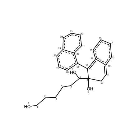 OCCCCCC(O)C1(O)CC=c2ccccc2=C1c1cccc2ccccc12